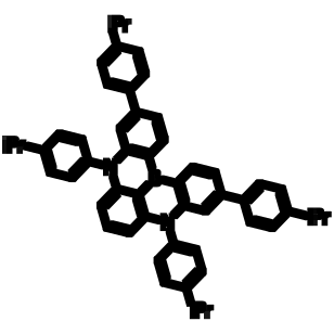 CC(C)c1ccc(-c2ccc3c(c2)N(c2ccc(C(C)C)cc2)c2cccc4c2B3c2ccc(-c3ccc(C(C)C)cc3)cc2N4c2ccc(C(C)C)cc2)cc1